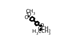 CCOC(=O)[C@@H]1CC=C(c2ccc(C(=O)OC(C)(C)C)cc2)CC1